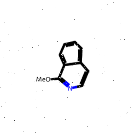 COc1n[c]cc2c[c]ccc12